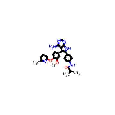 C=C(C)C(=O)Nc1ccc(-c2[nH]c3ncnc(N)c3c2-c2ccc(Oc3cccc(C)n3)c(OCC)c2)cc1